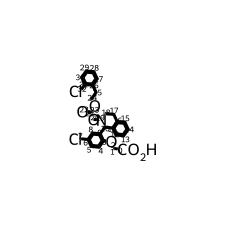 O=C(O)COc1ccc(Cl)cc1C1c2ccccc2CCN1OC(=O)OCCc1ccccc1Cl